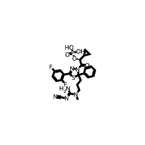 CN(CCCC1(c2ccccc2)SC(c2cc(F)ccc2F)=NN1C(=O)[C@@H](OP(=O)(O)O)C1CC1)/C(N)=N/C#N